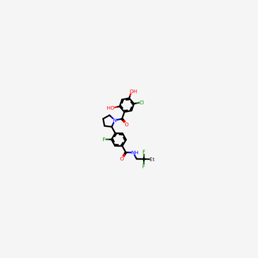 CCC(F)(F)CNC(=O)c1ccc(C2CCCN2C(=O)c2cc(Cl)c(O)cc2O)c(F)c1